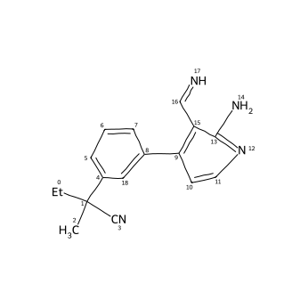 CCC(C)(C#N)c1cccc(-c2ccnc(N)c2C=N)c1